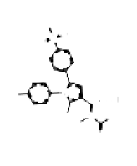 Cc1c([C@H](C(=O)O)N(C)C(=O)C(F)(F)F)cc(-c2ccc(S(C)(=O)=O)cc2)n1-c1ccc(F)cc1